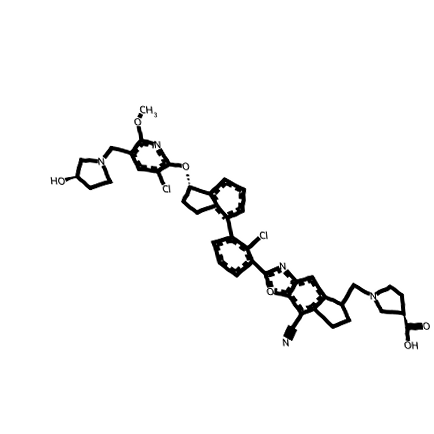 COc1nc(O[C@H]2CCc3c(-c4cccc(-c5nc6cc7c(c(C#N)c6o5)CCC7CN5CC[C@@H](C(=O)O)C5)c4Cl)cccc32)c(Cl)cc1CN1CC[C@@H](O)C1